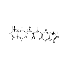 O=C(Nc1ccc2cc[nH]c2c1)Nc1ccc2cc[nH]c2c1